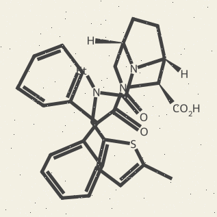 CCN(Cc1ccc(C)s1)C(=O)N1[C@H]2CC[C@@H]1[C@@H](C(=O)O)N(C(=O)C(c1ccccc1)c1ccccc1)C2